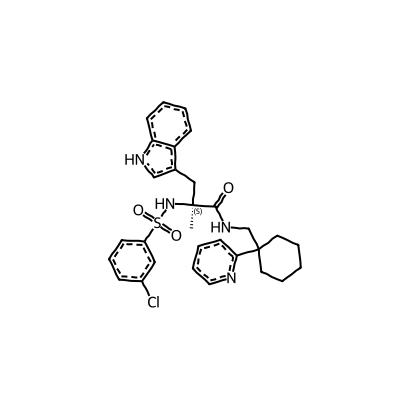 C[C@@](Cc1c[nH]c2ccccc12)(NS(=O)(=O)c1cccc(Cl)c1)C(=O)NCC1(c2ccccn2)CCCCC1